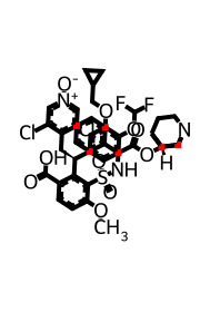 COc1ccc(C(=O)O)c([C@@H](Cc2c(Cl)c[n+]([O-])cc2Cl)c2ccc(OC(F)F)c(OCC3CC3)c2)c1S(=O)(=O)NC(C(=O)O[C@H]1CN2CCC1CC2)c1ccccc1